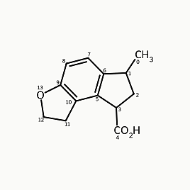 CC1CC(C(=O)O)c2c1ccc1c2CCO1